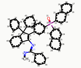 C=N/C(=N\C1=C(c2ccc(P(=O)(c3ccc4ccccc4c3)c3ccc4ccccc4c3)cc2)C(c2ccccc2)(c2ccccc2)c2ccccc21)c1ccccc1